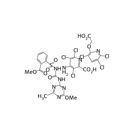 COC(=O)c1ccccc1S(=O)(=O)NC(=O)Nc1nc(C)nc(OC)n1.Nc1c(Cl)c(Cl)nc(C(=O)O)c1Cl.O=C(O)COc1nc(Cl)c(Cl)cc1Cl